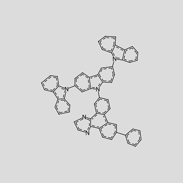 c1ccc(-c2ccc3c(c2)c2ccc(-n4c5ccc(-n6c7ccccc7c7ccccc76)cc5c5ccc(-n6c7ccccc7c7ccccc76)cc54)cc2c2nccnc32)cc1